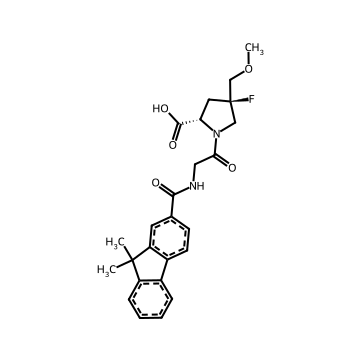 COC[C@@]1(F)C[C@@H](C(=O)O)N(C(=O)CNC(=O)c2ccc3c(c2)C(C)(C)c2ccccc2-3)C1